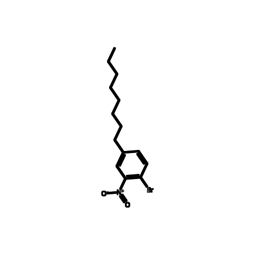 CCCCCCCCc1ccc(Br)c([N+](=O)[O-])c1